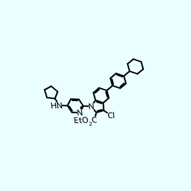 CCOC(=O)c1c(Cl)c2cc(-c3ccc(C4CCCCC4)cc3)ccc2n1-c1ccc(NC2CCCC2)cn1